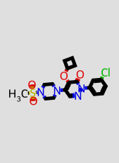 CS(=O)(=O)N1CCN(c2cnn(-c3cccc(Cl)c3)c(=O)c2OC2CCC2)CC1